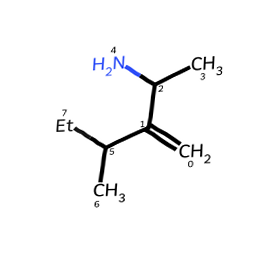 C=C(C(C)N)C(C)CC